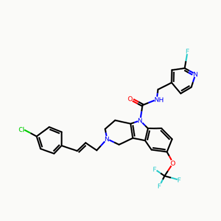 O=C(NCc1ccnc(F)c1)n1c2c(c3cc(OC(F)(F)F)ccc31)CN(CC=Cc1ccc(Cl)cc1)CC2